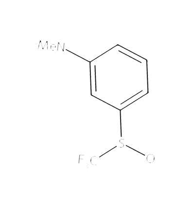 C[N]c1cccc([S+]([O-])C(F)(F)F)c1